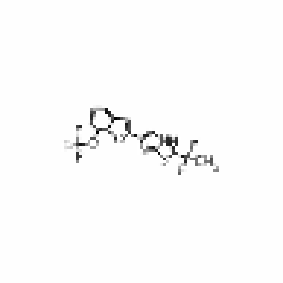 CC(F)(F)c1nn2cc(-c3cc4cccc(OC(F)(F)F)c4o3)nc2s1